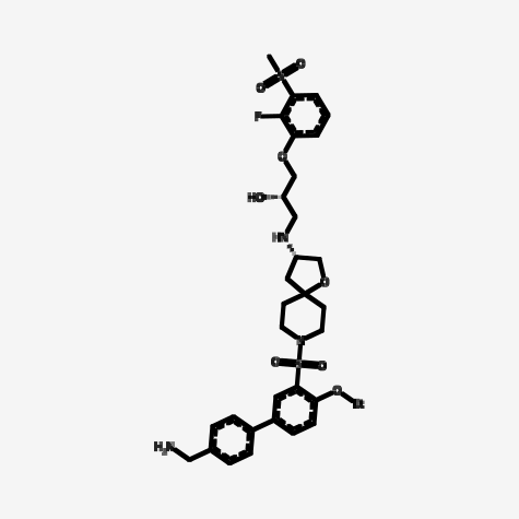 CCOc1ccc(-c2ccc(CN)cc2)cc1S(=O)(=O)N1CCC2(CC1)C[C@H](NC[C@H](O)COc1cccc(S(C)(=O)=O)c1F)CO2